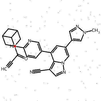 C#CC(=O)N1CC2CC(C1)C2Nc1ccc(-c2cc(-c3cnn(C)c3)cn3ncc(C#N)c23)cn1